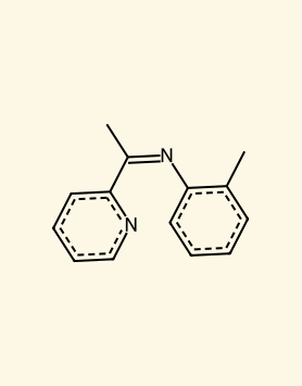 CC(=Nc1ccccc1C)c1ccccn1